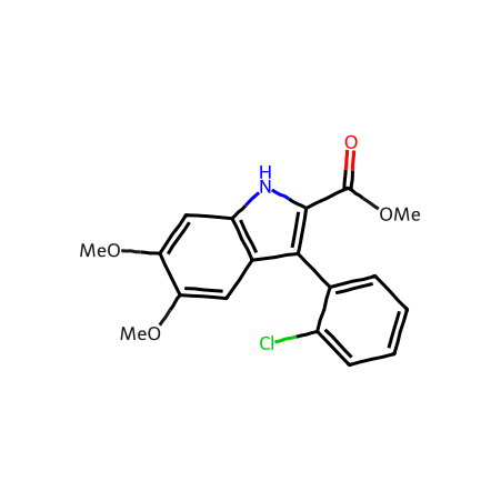 COC(=O)c1[nH]c2cc(OC)c(OC)cc2c1-c1ccccc1Cl